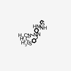 CCN(CC)CCn1c(Cc2ccc(SC)cc2)nc2cc(NC(=N)c3cccs3)ccc21